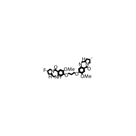 COc1cc2c(cc1OCCCOc1cc3c(cc1OC)C(=O)N1C[C@@H](F)C[C@H]1CN3)N=C[C@@H]1C[C@H](C)CN1C2=O